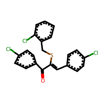 O=C(C(=Cc1ccc(Cl)cc1)SCc1ccccc1Cl)c1ccc(Cl)cc1